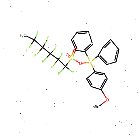 CCCCOc1ccc(S(OS(=O)(=O)C(F)(F)C(F)(F)C(F)(F)C(F)(F)C(F)(F)C(F)(F)F)(c2ccccc2)c2ccccc2)cc1